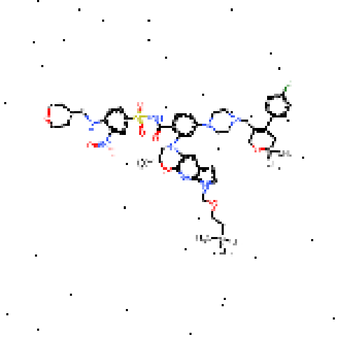 C[C@@H]1CN(c2cc(N3CCN(CC4=C(c5ccc(Cl)cc5)CC(C)(C)OC4)CC3)ccc2C(=O)NS(=O)(=O)c2ccc(NCC3CCOCC3)c([N+](=O)[O-])c2)c2cc3ccn(COCC[Si](C)(C)C)c3nc2O1